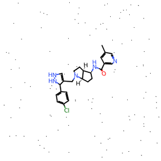 Cc1cncc(C(=O)N[C@H]2CC[C@@H]3[C@H]2CCN3CC2=CNNC2c2ccc(Cl)cc2)c1